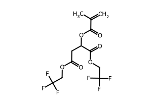 C=C(C)C(=O)OC(CC(=O)OCC(F)(F)F)C(=O)OCC(F)(F)F